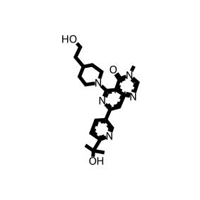 Cn1cnc2cc(-c3ccc(C(C)(C)O)nc3)nc(N3CCC(CCO)CC3)c2c1=O